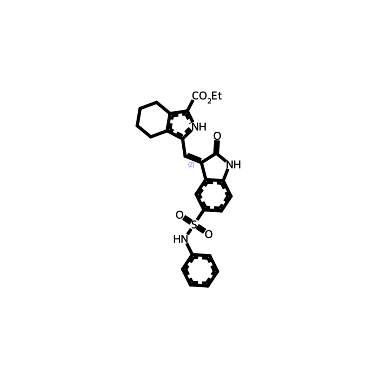 CCOC(=O)c1[nH]c(/C=C2\C(=O)Nc3ccc(S(=O)(=O)Nc4ccccc4)cc32)c2c1CCCC2